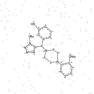 CCCCn1nnnc1C(c1cccc(O)c1)N1CCN(c2ccccc2OC)CC1